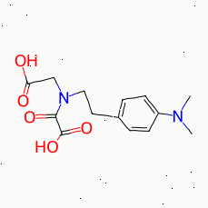 CN(C)c1ccc(CCN(CC(=O)O)C(=O)C(=O)O)cc1